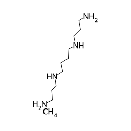 C.NCCCNCCCCNCCCN